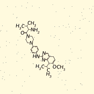 COC1=CCc2cnc(Nc3ccc(N4CCN(C(=O)C(N)C(C)C)CC4)cc3)nc2C1C(C)C